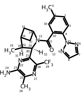 Cc1ccc(-n2nccn2)c(C(=O)N2C3CC(C3)[C@H](C)[C@@H]2c2nc(N)c(C)nc2C(F)(F)F)c1